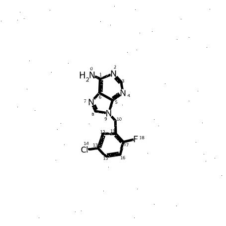 Nc1ncnc2c1ncn2Cc1cc(Cl)ccc1F